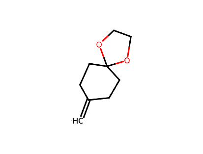 [CH]=C1CCC2(CC1)OCCO2